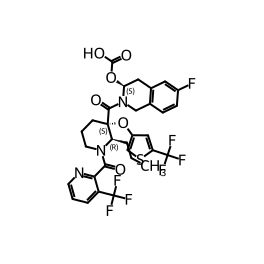 CCC[C@H]1N(C(=O)c2ncccc2C(F)(F)F)CCC[C@@]1(Oc1csc(C(F)(F)F)c1)C(=O)N1Cc2ccc(F)cc2C[C@@H]1OC(=O)O